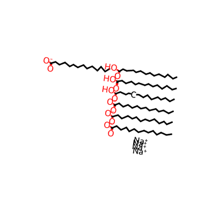 CCCCCCCCCCCCCC(=O)O.CCCCCCCCCCCCCC(=O)O.CCCCCCCCCCCCCC(=O)O.CCCCCCCCCCCCCC(=O)[O-].CCCCCCCCCCCCCC(=O)[O-].CCCCCCCCCCCCCC(=O)[O-].CCCCCCCCCCCCCC(=O)[O-].[Na+].[Na+].[Na+].[Na+]